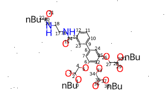 CCCCOC(=O)COc1cc(-c2cccc(C(=O)NCCNC(=O)CCCC)c2)cc(OCC(=O)OCCCC)c1OCC(=O)OCCCC